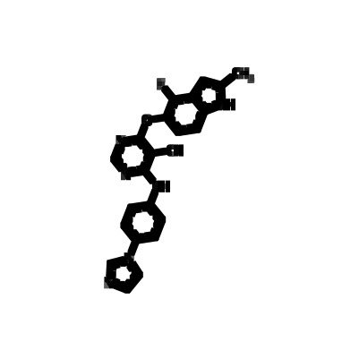 Cc1cc2c(F)c(Oc3ncnc(Nc4ccc(-n5ccnc5)cc4)c3C#N)ccc2[nH]1